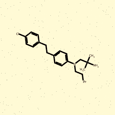 CC(C)CCN(CC(C)(C)N)c1ccc(CCc2ccc(Cl)cc2)cc1